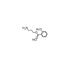 CC(=O)Oc1ccccc1C(=O)OCCCN.Cl